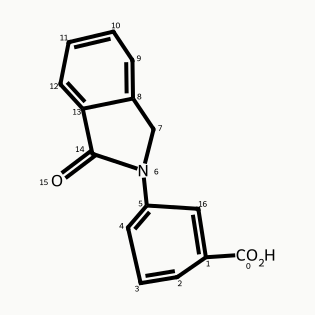 O=C(O)c1cccc(N2Cc3ccccc3C2=O)c1